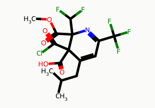 COC(=O)C1(C(F)F)N=C(C(F)(F)F)C=C(CC(C)C)C1(C(=O)O)C(=O)Cl